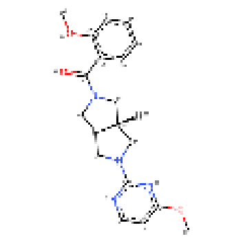 COc1ccnc(N2CC3CN(C(=O)c4ccccc4OC)C[C@@H]3C2)n1